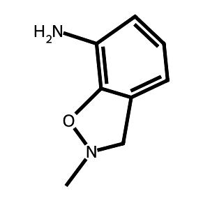 CN1Cc2cccc(N)c2O1